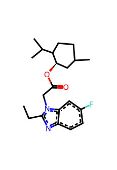 CCc1nc2ccc(F)cc2n1CC(=O)O[C@@H]1CC(C)CCC1C(C)C